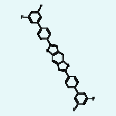 Fc1cc(F)cc(-c2ccc(-c3cc4cc5sc(-c6ccc(-c7cc(F)cc(F)c7)cc6)cc5cc4s3)cc2)c1